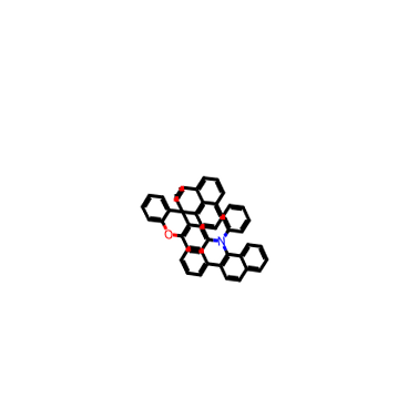 c1ccc(-c2ccc3ccccc3c2N(c2ccccc2)c2ccc3c(c2)C2(c4ccccc4O3)c3ccccc3-c3cccc4cccc2c34)cc1